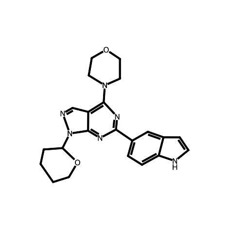 c1cc2cc(-c3nc(N4CCOCC4)c4cnn(C5CCCCO5)c4n3)ccc2[nH]1